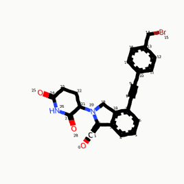 O=C=C1c2cccc(C#Cc3ccc(CBr)cc3)c2CN1C1CCC(=O)NC1=O